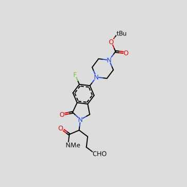 CNC(=O)C(CCC=O)N1Cc2cc(N3CCN(C(=O)OC(C)(C)C)CC3)c(F)cc2C1=O